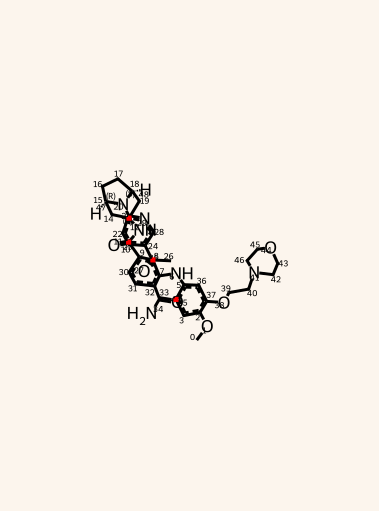 COc1ccc(Nc2cc(C(=O)N[C@H]3C[C@H]4CC[C@@H](C3)N4c3ccc(C(C)=O)cn3)ccc2C(N)=O)cc1OCCN1CCOCC1